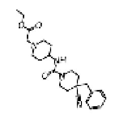 CCOC(=O)CN1CCC(NC(=O)N2CCC(C#N)(Cc3ccccc3)CC2)CC1